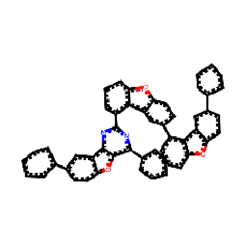 c1ccc(-c2ccc3oc4c(-c5ccccc5)nc(-c5cccc6oc7ccc(-c8cccc9oc%10ccc(-c%11ccccc%11)cc%10c89)cc7c56)nc4c3c2)cc1